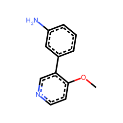 COc1ccncc1-c1cccc(N)c1